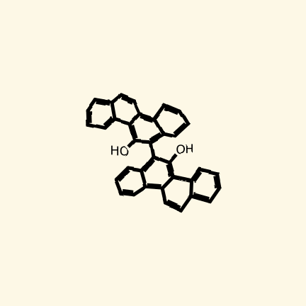 Oc1c(-c2c(O)c3c4ccccc4ccc3c3ccccc23)c2ccccc2c2ccc3ccccc3c12